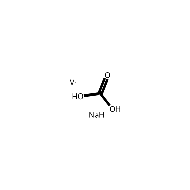 O=C(O)O.[NaH].[V]